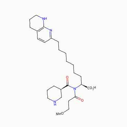 COCCC(=O)N(C(=O)[C@@H]1CCCNC1)[C@@H](CCCCCCCc1ccc2c(n1)NCCC2)C(=O)O